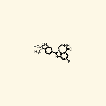 C[Si](C)(O)c1ccc(-c2nc3cc(F)cc4c3n2CCNC4=O)cc1